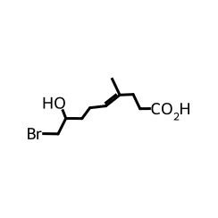 CC(=CCCC(O)CBr)CCC(=O)O